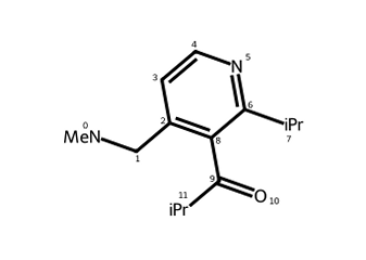 CNCc1ccnc(C(C)C)c1C(=O)C(C)C